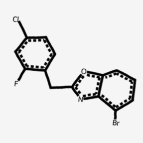 Fc1cc(Cl)ccc1Cc1nc2c(Br)cccc2o1